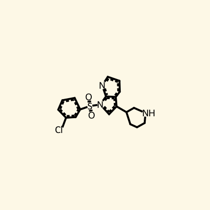 O=S(=O)(c1cccc(Cl)c1)n1cc(C2CCCNC2)c2cccnc21